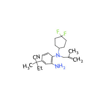 C=C(C)CN(c1ccc(C(C)(C#N)CC)cc1N)C1CCC(F)(F)CC1